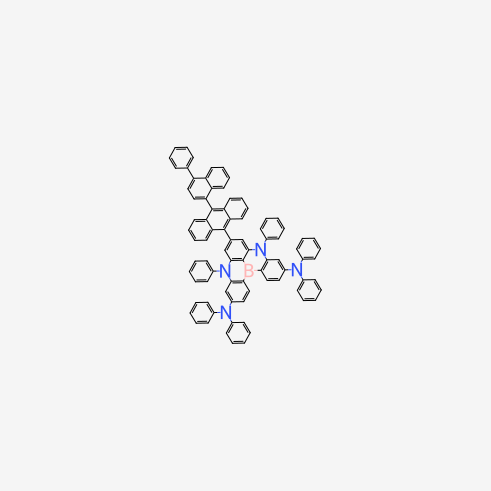 c1ccc(-c2ccc(-c3c4ccccc4c(-c4cc5c6c(c4)N(c4ccccc4)c4cc(N(c7ccccc7)c7ccccc7)ccc4B6c4ccc(N(c6ccccc6)c6ccccc6)cc4N5c4ccccc4)c4ccccc34)c3ccccc23)cc1